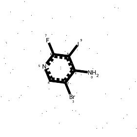 Nc1c(Br)cnc(F)c1I